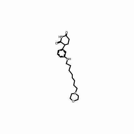 O=C1CCC(c2cccc(NCCCCCCCCN3CCOCC3)c2)C(=O)N1